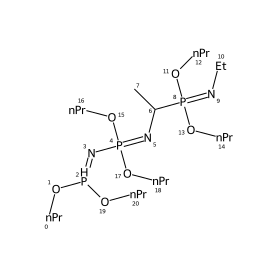 CCCO[PH](=NP(=NC(C)P(=NCC)(OCCC)OCCC)(OCCC)OCCC)OCCC